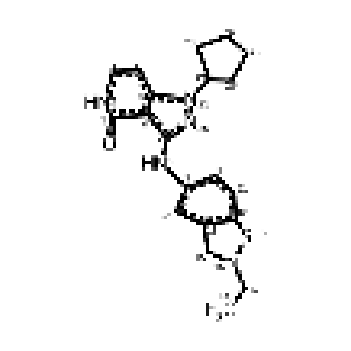 O=c1[nH]ccc2c1c(Nc1ccc3c(c1)CN(CC(F)(F)F)S3)nn2C1CCCC1